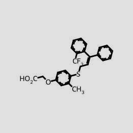 Cc1cc(OCC(=O)O)ccc1SCC=C(c1ccccc1)c1ccccc1C(F)(F)F